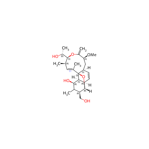 C=C1O[C@H]([C@@H](C)O)[C@H](C)/C=C(\C)[C@]23O[C@@H]4[C@H](C=C[C@@H]2C[C@@H]1OC)[C@H]3[C@H](O)C(C)[C@@H]4CO